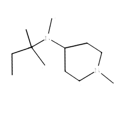 CCC(C)(C)N(C)C1CCN(C)CC1